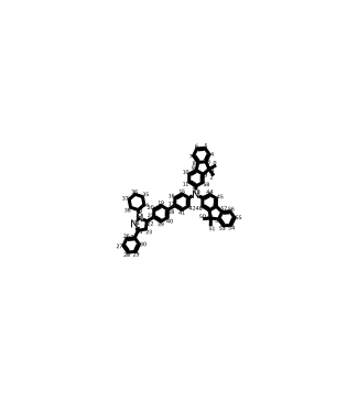 CC1(C)c2ccccc2-c2ccc(N(c3ccc(-c4ccc(C5CC(c6ccccc6)=NN5C5CCCCC5)cc4)cc3)c3ccc4c(c3)C(C)(C)c3ccccc3-4)cc21